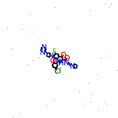 O=C(NCCN1CCCC1)c1cn2c3c(c(N4CCC(c5cnccn5)C4)c(F)cc3c1=O)Oc1ccc(Cl)cc1-2